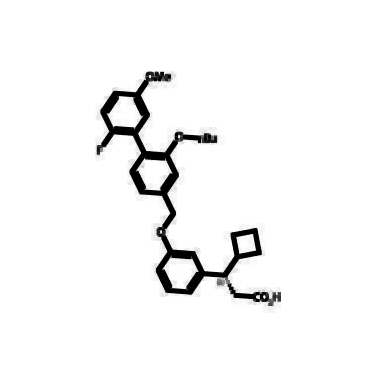 CCCCOc1cc(COc2cccc([C@@H](CC(=O)O)C3CCC3)c2)ccc1-c1cc(OC)ccc1F